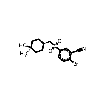 C[C@]1(O)CC[C@@H](CS(=O)(=O)c2ccc(Br)c(C#N)c2)CC1